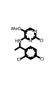 COc1cnc(Cl)nc1NC(C)c1ccc(Cl)cc1Cl